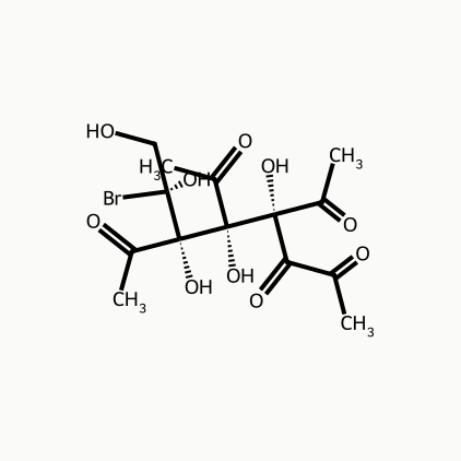 CC(=O)C(=O)[C@](O)(C(C)=O)[C@](O)(C(C)=O)[C@@](O)(C(C)=O)[C@@](O)(Br)CO